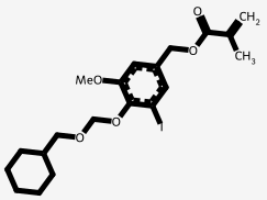 C=C(C)C(=O)OCc1cc(I)c(OCOCC2CCCCC2)c(OC)c1